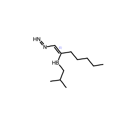 CCCCC/C(BCC(C)C)=C/N=N